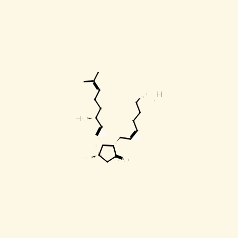 CC(C)=CCC[C@H](O)/C=C/[C@H]1[C@H](O)CC(=O)[C@@H]1C/C=C\CCCC(=O)O